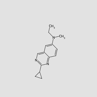 CCN(C)c1ccc2nc(C3CC3)ncc2c1